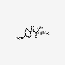 C#Cc1ccc(NC(=O)[C@@H](NC(C)=O)[C@@H](C)CC)cc1